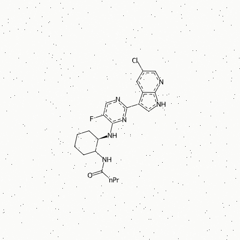 CCCC(=O)NC1CCCC[C@H]1Nc1nc(-c2c[nH]c3ncc(Cl)cc23)ncc1F